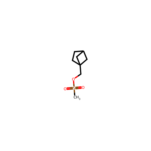 CS(=O)(=O)OCC12CCC(C1)C2